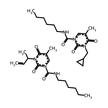 C=CC(C)n1c(=O)c(C)cn(C(=O)NCCCCCC)c1=O.CCCCCCNC(=O)n1cc(C)c(=O)n(CC2CC2)c1=O